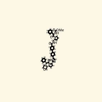 COC(=O)N[C@@H](C(=O)N1CCC[C@H]1CNC(=O)c1ccc(-c2ccc(-c3cnc([C@@H]4CCCN4C(=O)[C@@H](c4ccccc4)N4CCOCC4)[nH]3)cc2)cc1)c1ccccc1